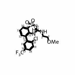 COCCNC1=NS(=O)(=O)c2cccc(-c3cc(C(F)(F)F)ccc3Cl)c2N1